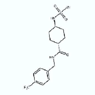 CC(C)S(=O)(=O)N[C@H]1CC[C@H](C(=O)NCc2ccc(C(F)(F)F)cc2)CC1